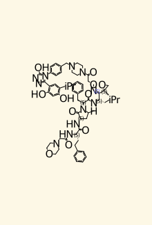 CC(C)C[C@H](NC(=O)[C@H](Cc1ccccc1)N1C(=O)[C@@H](NC(=O)[C@H](CCc2ccccc2)NC(=O)CN2CCOCC2)CC1C)/C(=N/OCC(=O)N1CCN(Cc2ccc(-n3c(O)nnc3-c3cc(C(C)C)c(O)cc3O)cc2)CC1)[C@@]1(C)CO1